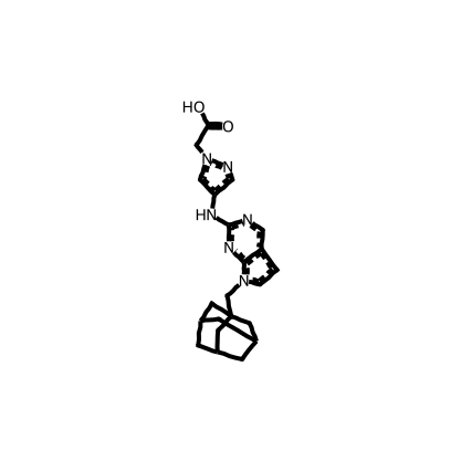 O=C(O)Cn1cc(Nc2ncc3ccn(CC45CC6CC(CC(C6)C4)C5)c3n2)cn1